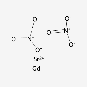 O=[N+]([O-])[O-].O=[N+]([O-])[O-].[Gd].[Sr+2]